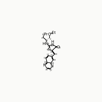 CCOC[C@@H](CC(C)C)NC1=N/C(=C\c2ccc3nccnc3c2)C(=O)N1